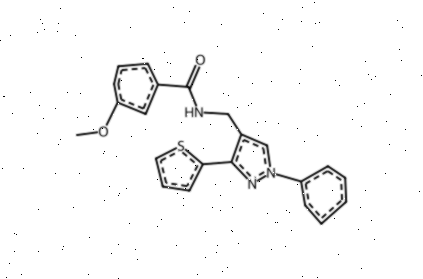 COc1cccc(C(=O)NCc2cn(-c3ccccc3)nc2-c2cccs2)c1